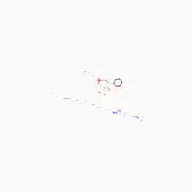 CC(O)C(=O)O.CCCCCCCCCCCCCCCCCC(=O)NCCCN(C)C.COc1ccc(C=CC(=O)OCCC(C)C)cc1